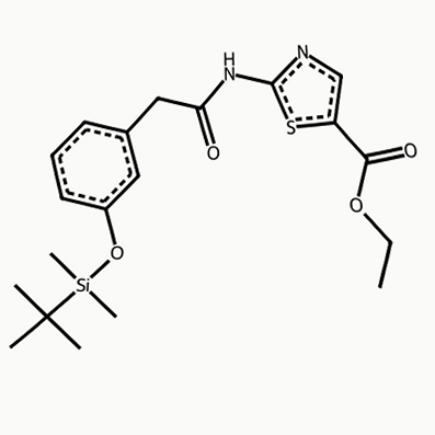 CCOC(=O)c1cnc(NC(=O)Cc2cccc(O[Si](C)(C)C(C)(C)C)c2)s1